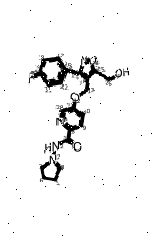 O=C(NN1CCCC1)c1ccc(OCc2c(-c3ccc(F)cc3)noc2CO)cn1